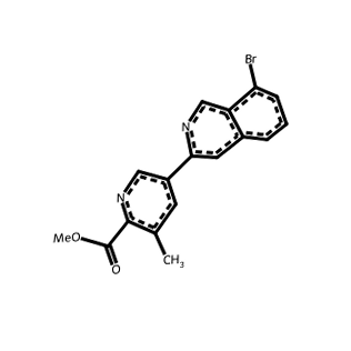 COC(=O)c1ncc(-c2cc3cccc(Br)c3cn2)cc1C